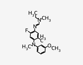 CCN(C)C=Nc1cc(C)c(N(C)c2cccc(OC)c2)cc1F